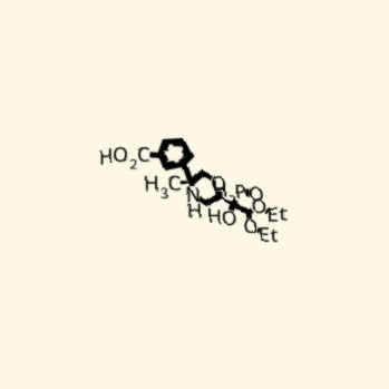 CCOC(OCC)C(O)([PH2]=O)[C@H]1CN[C@](C)(c2cccc(C(=O)O)c2)CO1